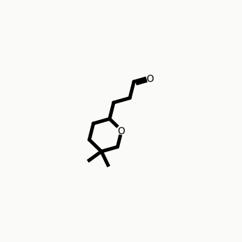 CC1(C)CCC(CCC=O)OC1